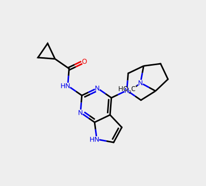 O=C(Nc1nc(N2CC3CCC(C2)N3C(=O)O)c2cc[nH]c2n1)C1CC1